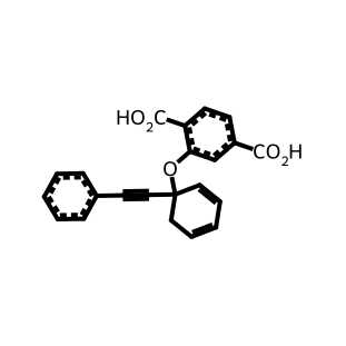 O=C(O)c1ccc(C(=O)O)c(OC2(C#Cc3ccccc3)C=CC=CC2)c1